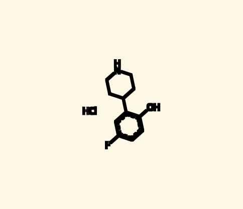 Cl.Oc1ccc(F)cc1C1CCNCC1